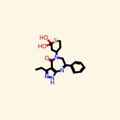 CCc1n[nH]c2c1C(=O)N(C1CCSC(O)(O)C1)CC(c1ccccc1)=N2